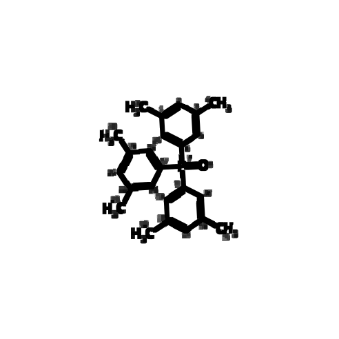 Cc1cc(C)cc(P(=O)(c2cc(C)cc(C)c2)c2cc(C)cc(C)c2)c1